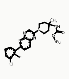 CC1(NC(=O)OC(C)(C)C)CCN(c2cnc3nc(-c4cccc(Cl)c4F)ccc3n2)CC1